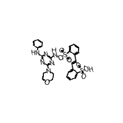 O=S(=O)(O)c1ccccc1C=Cc1ccccc1S(=O)(=O)ONc1nc(Nc2ccccc2)nc(N2CCOCC2)n1